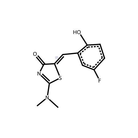 CN(C)C1=NC(=O)/C(=C/c2cc(F)ccc2O)S1